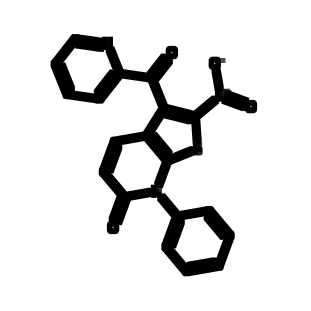 O=C(c1ccccn1)c1c([N+](=O)[O-])sc2c1ccc(=O)n2-c1ccccc1